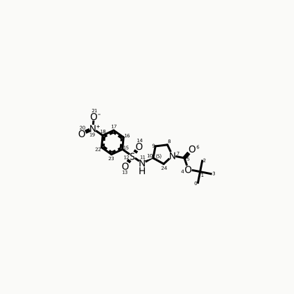 CC(C)(C)OC(=O)N1CC[C@H](NS(=O)(=O)c2ccc([N+](=O)[O-])cc2)C1